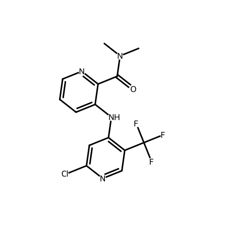 CN(C)C(=O)c1ncccc1Nc1cc(Cl)ncc1C(F)(F)F